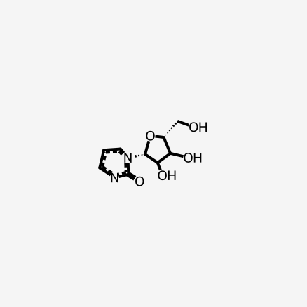 O=c1ncccn1[C@@H]1O[C@H](CO)C(O)C1O